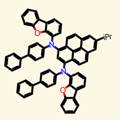 CC(C)c1cc2ccc3c(N(c4ccc(-c5ccccc5)cc4)c4cccc5c4oc4ccccc45)cc(N(c4ccc(-c5ccccc5)cc4)c4cccc5c4oc4ccccc45)c4ccc(c1)c2c34